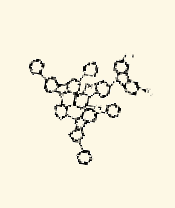 N#Cc1cc(-c2c(-n3c4ccc(-c5ccccc5)cc4c4cc(-c5ccccc5)ccc43)cccc2-n2c3ccc(-c4ccccc4)cc3c3cc(-c4ccccc4)ccc32)cc(C#N)c1-c1ccc(-n2c3ccc(C(F)(F)F)cc3c3cc(C(F)(F)F)ccc32)cc1